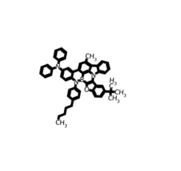 CCCCCc1ccc(N2B3c4oc5ccc(C(C)(C)C)cc5c4-n4c5ccccc5c5c(C)cc(c3c54)-c3cc(N(c4ccccc4)c4ccccc4)ccc32)cc1